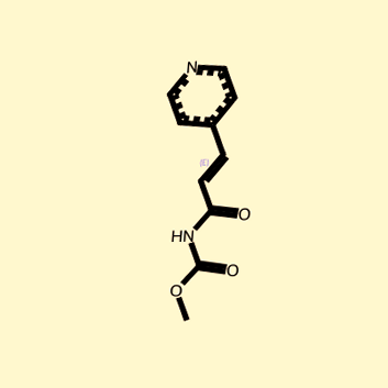 COC(=O)NC(=O)/C=C/c1ccncc1